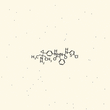 CCC(N)(CC)C1(c2ccc(NC(=O)C(NC(=O)Nc3ccc(Cl)s3)c3ccccc3)cc2)CC1